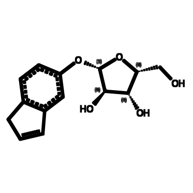 OC[C@H]1O[C@@H](Oc2ccc3c(c2)C=CC3)[C@H](O)[C@H]1O